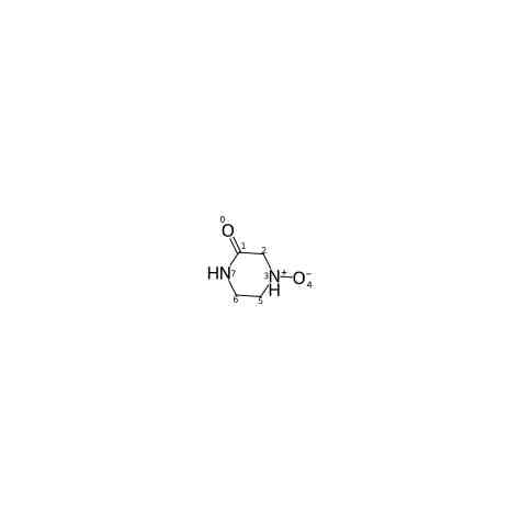 O=C1C[NH+]([O-])CCN1